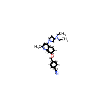 CCN(CC)C1CCN(c2cc(C)nc3cc(OCc4ccc(C#N)cc4)ccc23)C1